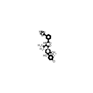 CC(C)C(NC(=O)c1cccc(-c2nn[nH]n2)c1)C(=O)N1CCC(O)(c2ccc(Cl)cc2)C(C)(C)C1